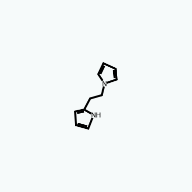 c1c[nH]c(CCn2cccc2)c1